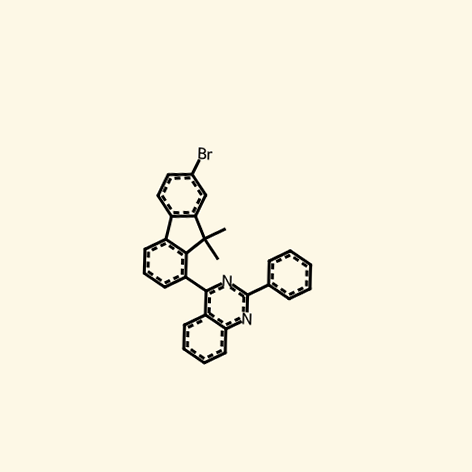 CC1(C)c2cc(Br)ccc2-c2cccc(-c3nc(-c4ccccc4)nc4ccccc34)c21